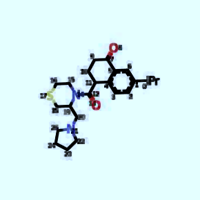 CC(C)c1ccc2c(c1)C(=O)CCC2C(=O)N1CCSCC1CN1CCCC1